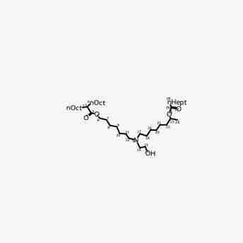 CCCCCCCCC(CCCCCCCC)C(=O)OCCCCCCCN(CCO)CCCCCCC(C)OC(=O)CCCCCCC